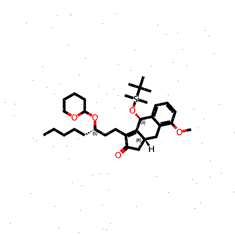 CCCCC[C@@H](CCC1=C2[C@@H](CC1=O)Cc1c(OC)cccc1[C@@H]2O[Si](C)(C)C(C)(C)C)OC1CCCCO1